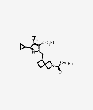 CCOC(=O)c1c(C(F)(F)F)c(C2CC2)nn1CC1CCC12CN(C(=O)OC(C)(C)C)C2